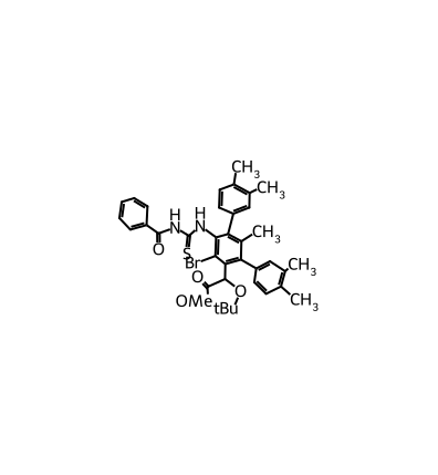 COC(=O)C(OC(C)(C)C)c1c(Br)c(NC(=S)NC(=O)c2ccccc2)c(-c2ccc(C)c(C)c2)c(C)c1-c1ccc(C)c(C)c1